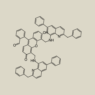 O=Cc1ccccc1-c1c2ccc(=O)c(CNc3cc(-c4ccccc4)cc4ccc(Cc5ccccc5)nc34)c-2oc2c(CNc3cc(-c4ccccc4)cc4ccc(Cc5ccccc5)nc34)c(O)ccc12